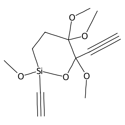 C#CC1(OC)O[Si](C#C)(OC)CCC1(OC)OC